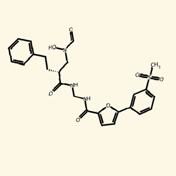 CS(=O)(=O)c1cccc(-c2ccc(C(=O)NCNC(=O)[C@H](CCc3ccccc3)CN(O)C=O)o2)c1